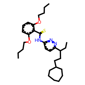 CCCCOc1cccc(OCCCC)c1C(=S)Nc1ccc(C(CC)CCC2CCCCCC2)nn1